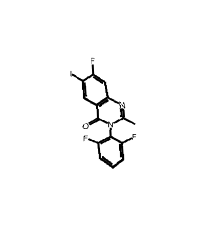 Cc1nc2cc(F)c(I)cc2c(=O)n1-c1c(F)cccc1F